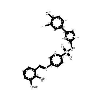 COc1cccc(C=Nc2ccc(S(=O)(=O)Nc3nc(-c4ccc(Cl)c(F)c4)cs3)nc2)c1O